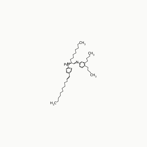 CCCCCCCCCCC=Cc1ccc(N=C(C=Nc2ccc(CCCC)c(CCCC)c2)CCCCCCCC)cc1.[Pd]